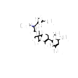 CCO/N=C(\C(=O)NC1(C=S)C(=O)N2C(C(=O)O)=C(C3=NC(N)=CC(N)N3N)CS[C@H]21)c1nsc(N)n1